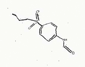 CCCS(=O)(=O)c1ccc(N[C]=O)cc1